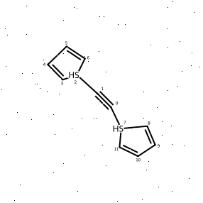 C(#C[SH]1C=CC=C1)[SH]1C=CC=C1